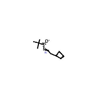 CC(C)(C)[S@+]([O-])/N=C/CC1CCC1